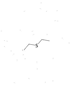 [CH2]CSCC